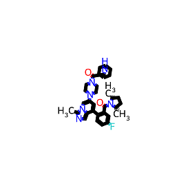 Cc1ncc2c(-c3ccc(F)cc3C(=O)N3[C@H](C)CC[C@@H]3C)cc(N3CCN(C(=O)C4NC5CCC4CC5)CC3)cn12